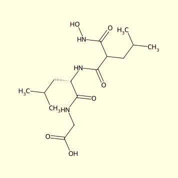 CC(C)CC(C(=O)NO)C(=O)N[C@@H](CC(C)C)C(=O)NCC(=O)O